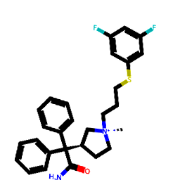 C[N@+]1(CCCSc2cc(F)cc(F)c2)CC[C@@H](C(C(N)=O)(c2ccccc2)c2ccccc2)C1